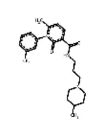 Cc1ccc(C(=O)NCCCN2CCC(C)CC2)c(=O)n1-c1cccc(C(F)(F)F)c1